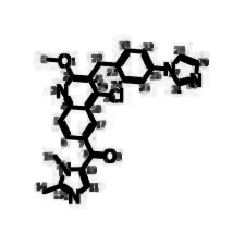 COc1nc2ccc(C(=O)c3cnc(C)n3C)cc2c(Cl)c1Cc1ccc(-n2ccnc2)cc1